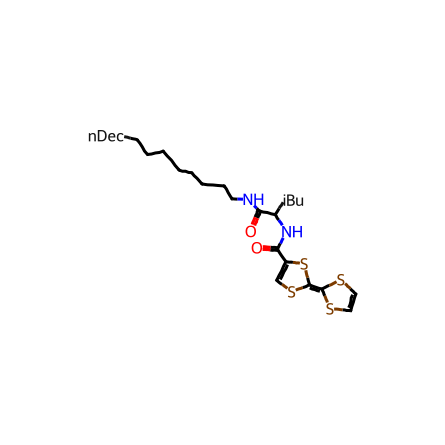 CCCCCCCCCCCCCCCCCCNC(=O)C(NC(=O)C1=CSC(=C2SC=CS2)S1)C(C)CC